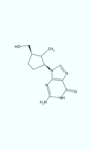 CC1[C@H](CO)CC[C@@H]1n1cnc2c(=O)[nH]c(N)nc21